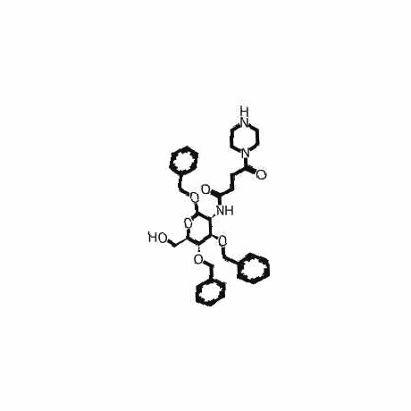 O=C(CCC(=O)N1CCNCC1)N[C@H]1C(OCc2ccccc2)O[C@H](CO)[C@@H](OCc2ccccc2)[C@@H]1OCc1ccccc1